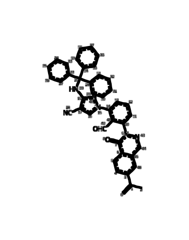 C=C(C)c1ccc2c(=O)n(-c3cccc(-n4cc(C#N)c(NC(c5ccccc5)(c5ccccc5)c5ccccc5)n4)c3C=O)ncc2c1